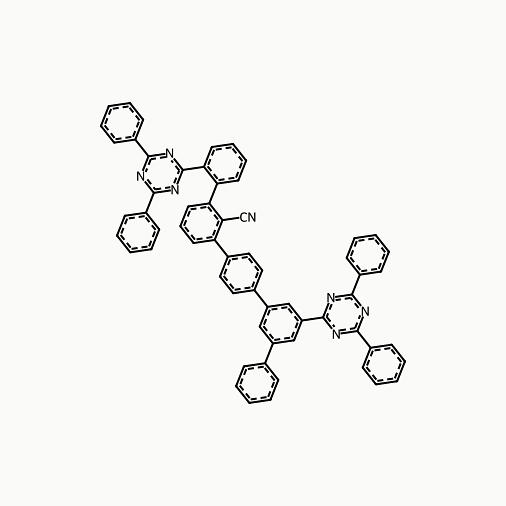 N#Cc1c(-c2ccc(-c3cc(-c4ccccc4)cc(-c4nc(-c5ccccc5)nc(-c5ccccc5)n4)c3)cc2)cccc1-c1ccccc1-c1nc(-c2ccccc2)nc(-c2ccccc2)n1